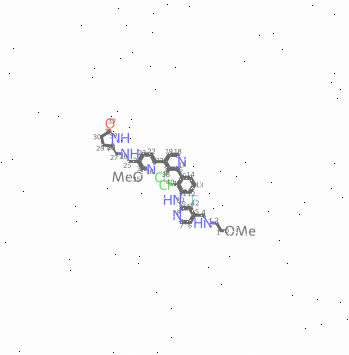 COCCNCc1ccnc(Nc2cccc(-c3nccc(-c4ccc(CNC[C@H]5CCC(=O)N5)c(OC)n4)c3Cl)c2Cl)c1F